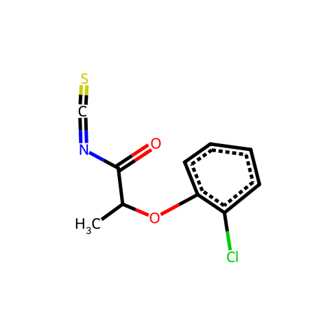 CC(Oc1ccccc1Cl)C(=O)N=C=S